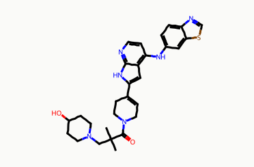 CC(C)(CN1CCC(O)CC1)C(=O)N1CC=C(c2cc3c(Nc4ccc5ncsc5c4)ccnc3[nH]2)CC1